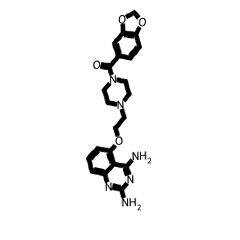 Nc1nc(N)c2c(OCCN3CCN(C(=O)c4ccc5c(c4)OCO5)CC3)cccc2n1